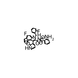 Nc1ccccc1S(=O)(=O)NC(=O)c1c(-c2ccc[nH]c2=O)c2c3occc3c(F)cc2n1Cc1ccccc1F